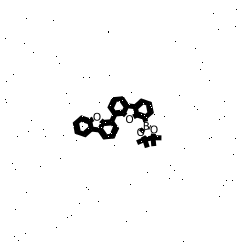 CC1(C)OB(c2cccc3c2oc2c(-c4cccc5c4oc4ccccc45)cccc23)OC1(C)C